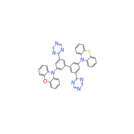 c1ccc2c(c1)Oc1ccccc1N2c1cc(-c2cc(-c3ncncn3)cc(N3c4ccccc4Sc4ccccc43)c2)cc(-c2ncncn2)c1